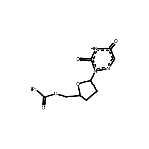 CC(C)C(=O)OCC1CCC(n2ncc(=O)[nH]c2=O)O1